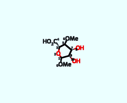 COC1O[C@H](C(=O)O)[C@@H](OC)[C@H](O)[C@@H]1O